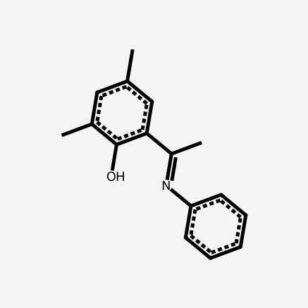 C/C(=N\c1ccccc1)c1cc(C)cc(C)c1O